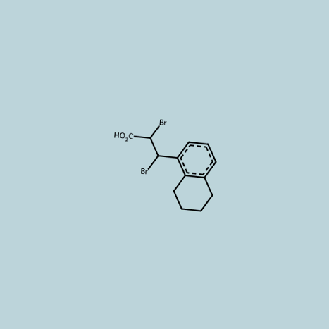 O=C(O)C(Br)C(Br)c1cccc2c1CCCC2